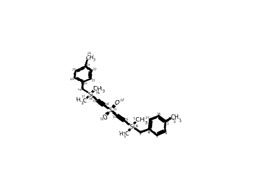 Cc1ccc(C[Si](C)(C)C#CS(=O)(=O)C#C[Si](C)(C)Cc2ccc(C)cc2)cc1